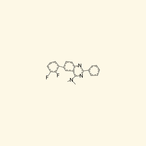 CN(C)c1nc(-c2ccccc2)nc2ccc(-c3cccc(F)c3F)cc12